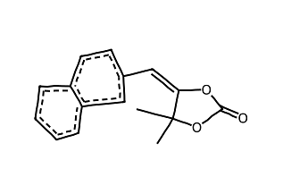 CC1(C)OC(=O)OC1=Cc1ccc2ccccc2c1